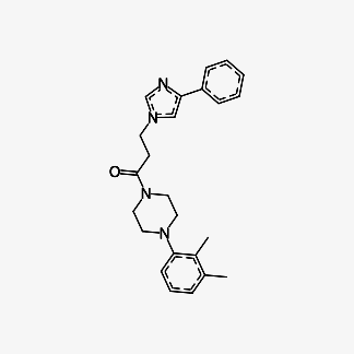 Cc1cccc(N2CCN(C(=O)CCn3cnc(-c4ccccc4)c3)CC2)c1C